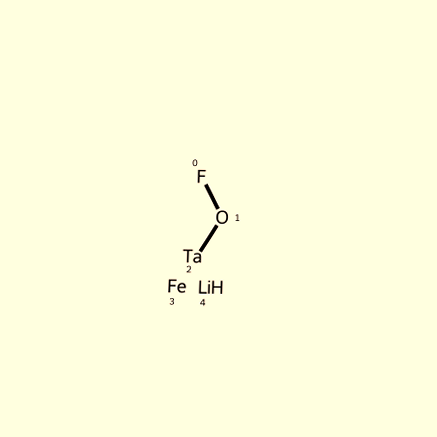 F[O][Ta].[Fe].[LiH]